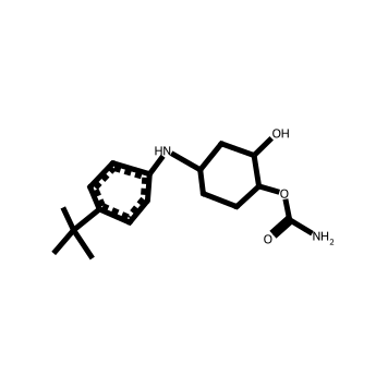 CC(C)(C)c1ccc(NC2CCC(OC(N)=O)C(O)C2)cc1